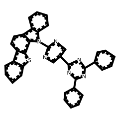 c1ccc(-c2nc(-c3ccccc3)nc(-c3cnc(-n4c5ccccc5c5ccc6c7ccccc7sc6c54)nc3)n2)cc1